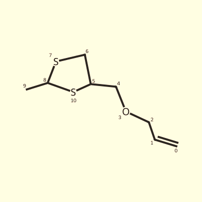 C=CCOCC1CSC(C)S1